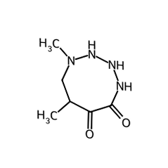 CC1CN(C)NNNC(=O)C1=O